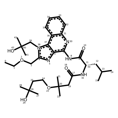 CCOCc1nc2c(NC(=O)[C@H](CC(C)C)NC(=O)CC(C)(C)OCCC(C)(C)O)nc3ccccc3c2n1CC(C)(C)O